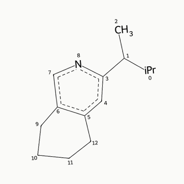 CC(C)C(C)c1cc2c(cn1)CCCC2